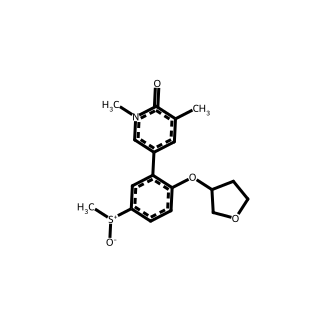 Cc1cc(-c2cc([S+](C)[O-])ccc2OC2CCOC2)cn(C)c1=O